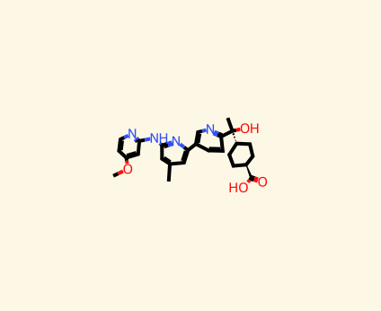 COc1ccnc(Nc2cc(C)cc(-c3ccc(C(C)(O)[C@H]4CC[C@H](C(=O)O)CC4)nc3)n2)c1